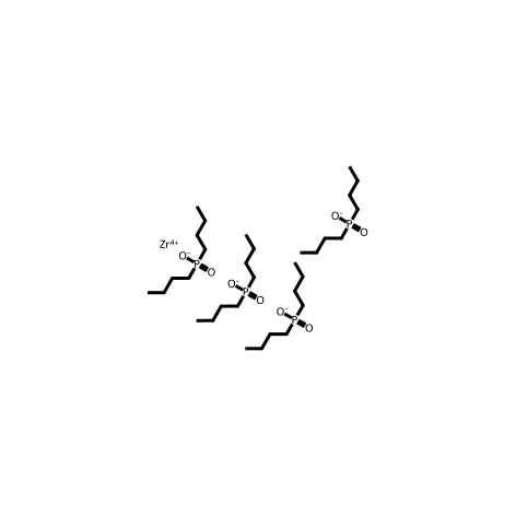 CCCCP(=O)([O-])CCCC.CCCCP(=O)([O-])CCCC.CCCCP(=O)([O-])CCCC.CCCCP(=O)([O-])CCCC.[Zr+4]